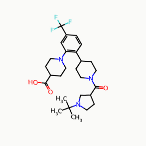 CC(C)(C)N1CCC(C(=O)N2CCC(c3ccc(C(F)(F)F)cc3N3CCC(C(=O)O)CC3)CC2)C1